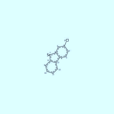 Clc1ccc2c(c1)[se]c1ccccc12